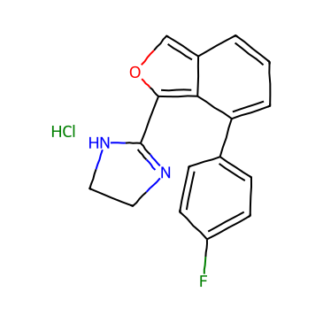 Cl.Fc1ccc(-c2cccc3coc(C4=NCCN4)c23)cc1